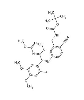 COC(=O)N=C(SC)C(=Nc1ccc(C#N)c(CNC(=O)OC(C)(C)C)c1)c1cc(OC)c(OC)cc1F